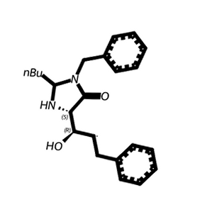 CCCCC1N[C@@H]([C@H](O)[CH]Cc2ccccc2)C(=O)N1Cc1ccccc1